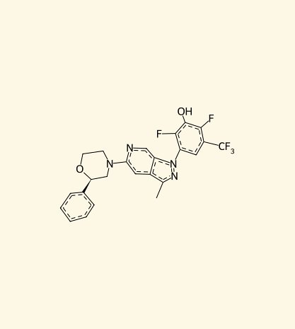 Cc1nn(-c2cc(C(F)(F)F)c(F)c(O)c2F)c2cnc(N3CCO[C@H](c4ccccc4)C3)cc12